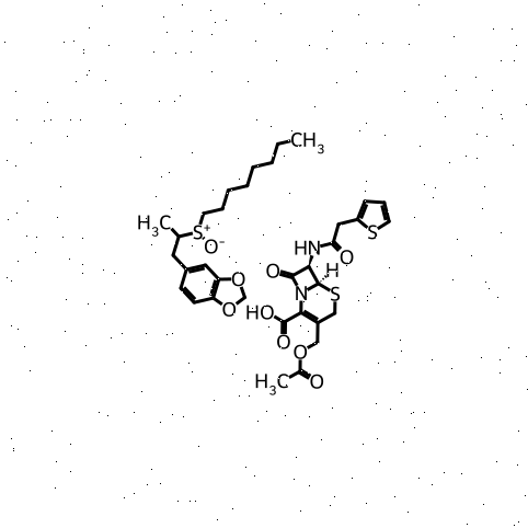 CC(=O)OCC1=C(C(=O)O)N2C(=O)[C@@H](NC(=O)Cc3cccs3)[C@H]2SC1.CCCCCCCC[S+]([O-])C(C)Cc1ccc2c(c1)OCO2